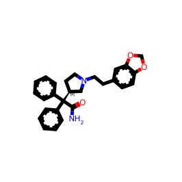 NC(=O)C(c1ccccc1)(c1ccccc1)[C@H]1CCN(CCc2ccc3c(c2)OCO3)C1